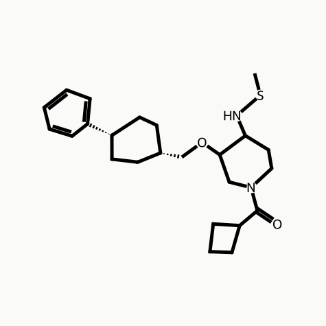 CSNC1CCN(C(=O)C2CCC2)CC1OC[C@H]1CC[C@@H](c2ccccc2)CC1